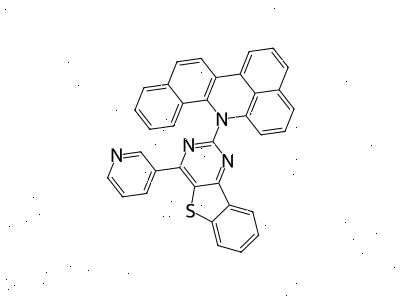 c1cncc(-c2nc(N3c4c(ccc5ccccc45)-c4cccc5cccc3c45)nc3c2sc2ccccc23)c1